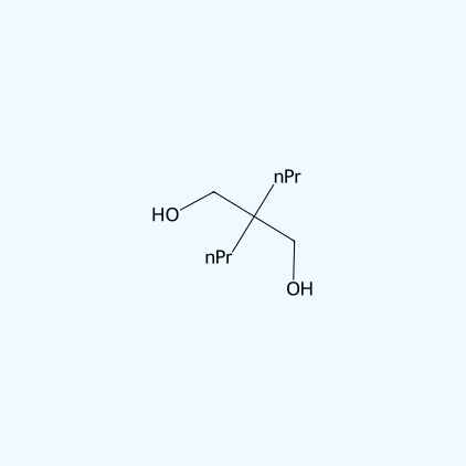 CCCC(CO)(CO)CCC